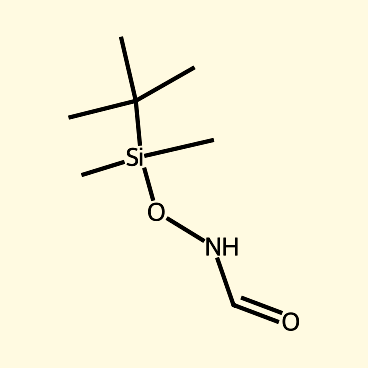 CC(C)(C)[Si](C)(C)ONC=O